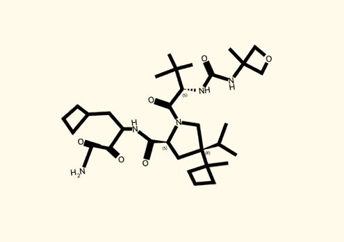 CC(C)[C@@]1(C2(C)CCC2)C[C@@H](C(=O)NC(CC2CCC2)C(=O)C(N)=O)N(C(=O)[C@@H](NC(=O)NC2(C)COC2)C(C)(C)C)C1